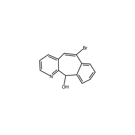 OC1c2ccccc2C(Br)=Cc2cccnc21